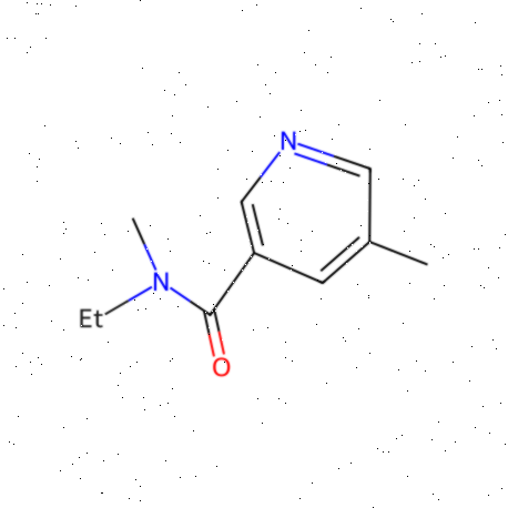 CCN(C)C(=O)c1cncc(C)c1